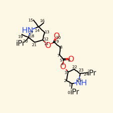 CC(C)C1CC(OC(=O)CCC(=O)OC2CC(C)(C)NC(C)(C(C)C)C2)CC(C(C)C)N1